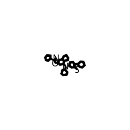 c1ccc(-c2nc3c(cc(N(c4ccccc4)c4ccc5c(c4)sc4ccccc45)c4ccccc43)o2)cc1